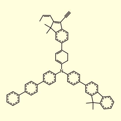 C#CC1=C(/C=C\C)C(C)(C)c2cc(C3=CC=C(N(c4ccc(-c5ccc(-c6ccccc6)cc5)cc4)c4ccc(-c5ccc6c(c5)C(C)(C)c5ccccc5-6)cc4)CC3)ccc21